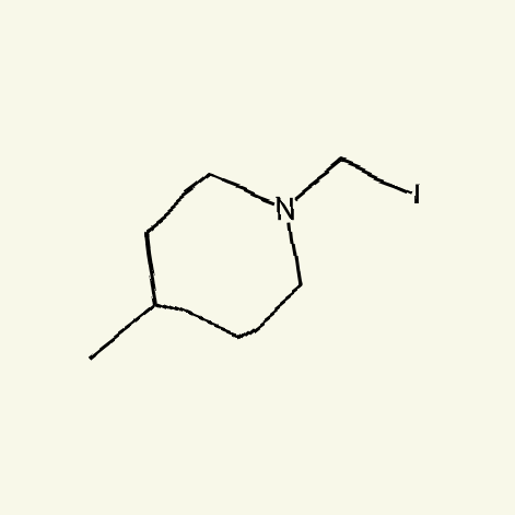 CC1CCN(CI)CC1